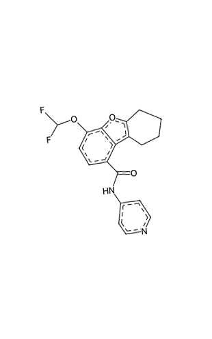 O=C(Nc1ccncc1)c1ccc(OC(F)F)c2oc3c(c12)CCCC3